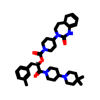 Cc1cccc(C[C@@H](OC(=O)N2CCC(N3CCC4CC=CC=C4NC3=O)CC2)C(=O)N2CCC(N3CCC(C)(C)CC3)CC2)c1